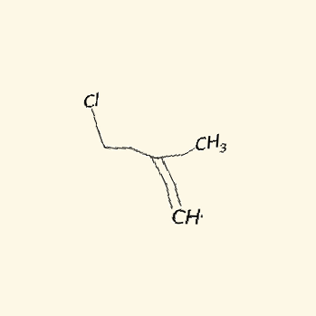 [CH]=C(C)CCl